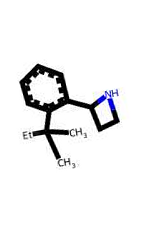 CCC(C)(C)c1ccccc1C1CCN1